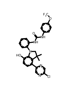 CC1(C)CN(c2ccccc2NC(=O)Nc2ccc(OC(F)(F)F)cc2)c2c(O)ccc(-c3cnc(Cl)cn3)c21